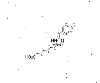 O=C(O)CCCCCC[SH]1N/C(=C/c2ccc(F)cc2)OO1